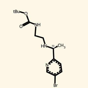 C[C@H](NCCNC(=O)OC(C)(C)C)c1ccc(Br)cn1